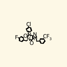 O=c1c2c(ncn2Cc2cccc(C(F)(F)F)c2)n(-c2ccc(Cl)cc2)c(=O)n1Cc1ccc(F)cc1